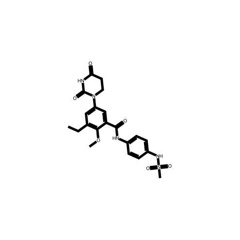 CCc1cc(N2CCC(=O)NC2=O)cc(C(=O)Nc2ccc(NS(C)(=O)=O)cc2)c1OC